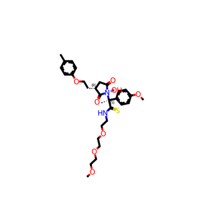 COCCOCCOCCNC(=S)[C@](C)(c1ccc(OC)cc1)[N+]1(O)C(=O)C[C@@H](CCOc2ccc(C)cc2)C1=O